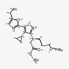 CCCCOCCC[C@@H](CC(=O)OC(C)(C)C)c1noc(-c2ncc(CC(C)C)o2)c1C1CC1